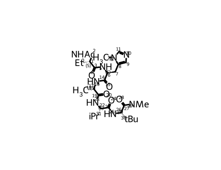 CC[C@H](NC(C)=O)C(=O)N[C@@H](Cc1cncn1C)C(=O)N[C@@H](C)C(=O)N[C@H](C(=O)N[C@H](C(=O)NC)C(C)(C)C)C(C)C